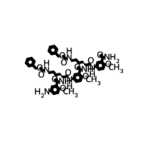 COc1ccc(NC(=O)[C@H](CCCCNC(=O)OCc2ccccc2)NC(=O)c2cc(NC(=O)[C@H](CCCCNC(=O)OCc3ccccc3)NC(=O)c3cc(N)ccc3OC)ccc2OC)cc1C(N)=O